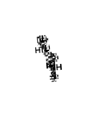 O=C(Nc1ccc(C2Cc3cnc(NCCCN4CCCC4)nc3-c3ccccc32)cc1)c1ccc2nccnc2c1